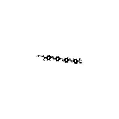 CCCCCC(=O)c1ccc(N=Nc2ccc(N=Nc3ccc(N=Nc4ccc(N(CC)CC)cc4)cc3)cc2)cc1